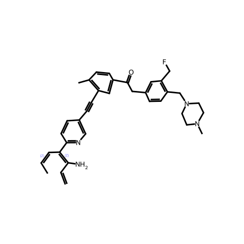 C=C/C(N)=C(\C=C/C)c1ccc(C#Cc2cc(C(=O)Cc3ccc(CN4CCN(C)CC4)c(CF)c3)ccc2C)cn1